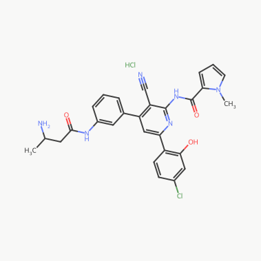 CC(N)CC(=O)Nc1cccc(-c2cc(-c3ccc(Cl)cc3O)nc(NC(=O)c3cccn3C)c2C#N)c1.Cl